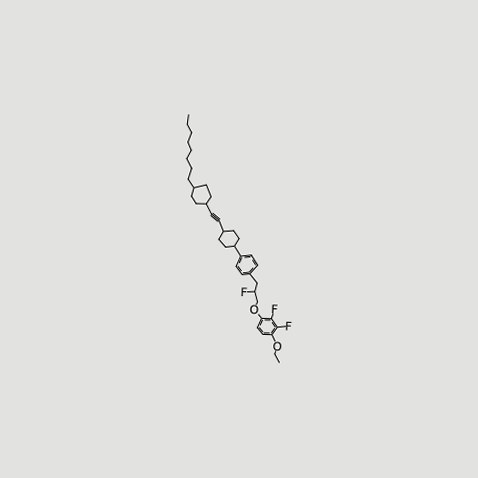 CCCCCCCCC1CCC(C#CC2CCC(c3ccc(CC(F)COc4ccc(OCC)c(F)c4F)cc3)CC2)CC1